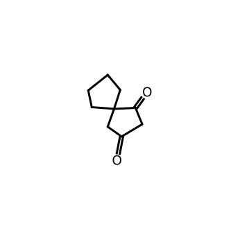 O=C1CC(=O)C2(CCCC2)C1